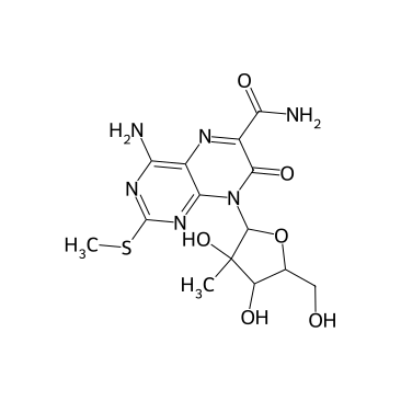 CSc1nc(N)c2nc(C(N)=O)c(=O)n(C3OC(CO)C(O)C3(C)O)c2n1